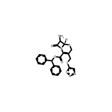 NC1C(=O)N2C(C(=O)OC(c3ccccc3)c3ccccc3)=C(CSc3cnns3)CS[C@@H]12